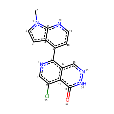 Cn1ccc2c(-c3ncc(Cl)c4c(=O)[nH]ncc34)ccnc21